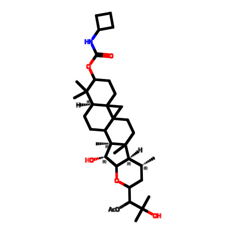 CC(=O)OC(C1C[C@@H](C)[C@H]2C(O1)[C@H](O)[C@@]1(C)C3CC[C@H]4C(C)(C)C(OC(=O)NC5CCC5)CCC45CC35CCC21C)C(C)(C)O